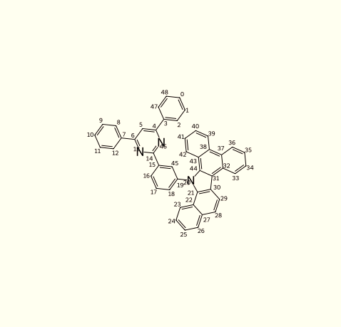 c1ccc(-c2cc(-c3ccccc3)nc(-c3cccc(-n4c5c6ccccc6ccc5c5c6ccccc6c6ccccc6c54)c3)n2)cc1